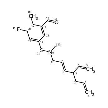 C=CCC(C=C)/C=C/CN(I)SC(/C=C(/C=O)CC)=C/CF